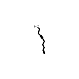 C=CCCCC#CCCO